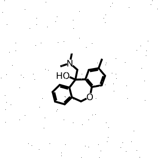 Cc1ccc2c(c1)C(O)(CN(C)C)c1ccccc1CO2